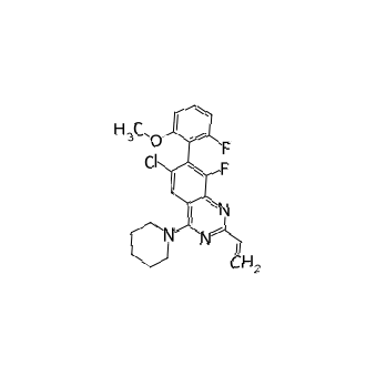 C=Cc1nc(N2CCCCC2)c2cc(Cl)c(-c3c(F)cccc3OC)c(F)c2n1